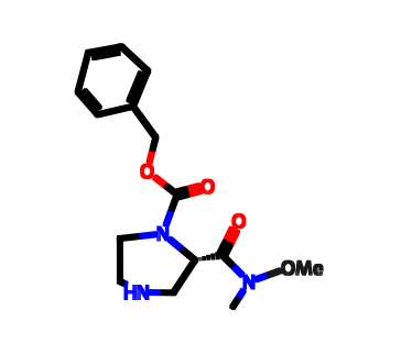 CON(C)C(=O)[C@@H]1CNCCN1C(=O)OCc1ccccc1